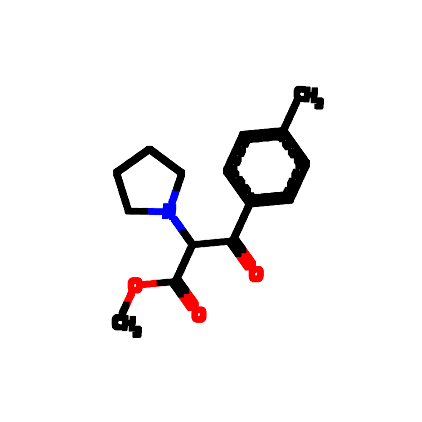 COC(=O)C(C(=O)c1ccc(C)cc1)N1CCCC1